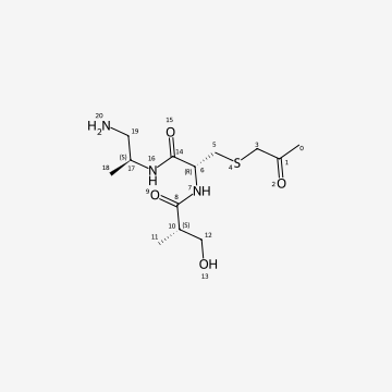 CC(=O)CSC[C@H](NC(=O)[C@@H](C)CO)C(=O)N[C@@H](C)CN